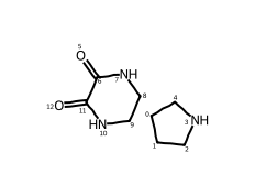 C1CCNC1.O=C1NCCNC1=O